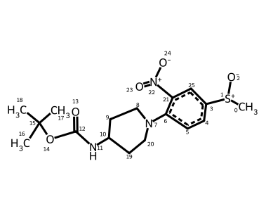 C[S+]([O-])c1ccc(N2CCC(NC(=O)OC(C)(C)C)CC2)c([N+](=O)[O-])c1